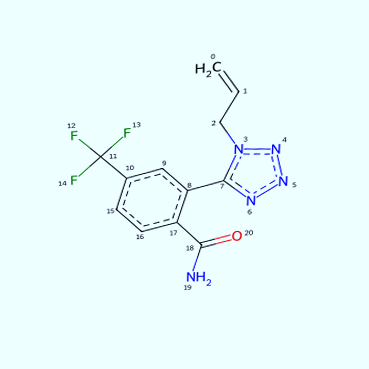 C=CCn1nnnc1-c1cc(C(F)(F)F)ccc1C(N)=O